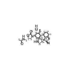 CC(=O)NC[C@H]1CN(c2ccc(-c3cccc(F)c3C3(C#N)C4CNCC43)c(F)c2)C(=O)O1.Cl